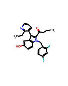 CCCC(=O)c1c(-c2cccnc2CC)c2cc(O)ccc2n1Cc1ccc(F)cc1F